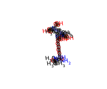 Cc1nn(-c2ccc(C(N)=O)c(NCCCOCCOCCOCCOCCOCCCNCc3ccc(C4=C(/C=C/C5=[N+](CCCCS(=O)(=O)O)c6ccc(S(=O)(=O)O)cc6C5(C)C)CCC/C4=C\C=C4\N(CCCCS(=O)(=O)O)c5ccc(S(=O)(=O)O)cc5C4(C)C)cc3)c2)c2c1C(=O)CC(C)(C)C2